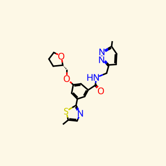 Cc1ccc(CNC(=O)c2cc(OC[C@@H]3CCCO3)cc(-c3ncc(C)s3)c2)nn1